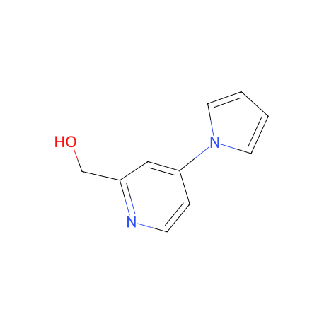 OCc1cc(-n2cccc2)ccn1